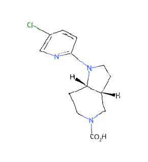 O=C(O)N1CC[C@H]2[C@H](CCN2c2ccc(Cl)cn2)C1